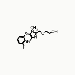 CC(C)c1nc(COCCO)n(C)c1Sc1cccc(F)c1